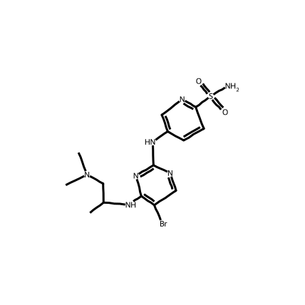 CC(CN(C)C)Nc1nc(Nc2ccc(S(N)(=O)=O)nc2)ncc1Br